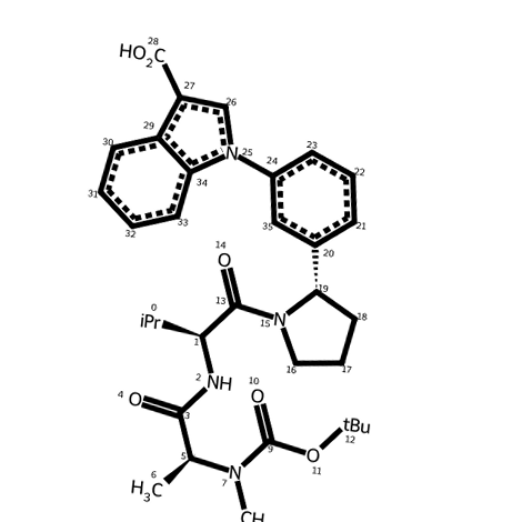 CC(C)[C@H](NC(=O)[C@H](C)N(C)C(=O)OC(C)(C)C)C(=O)N1CCC[C@H]1c1cccc(-n2cc(C(=O)O)c3ccccc32)c1